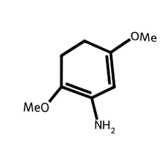 COC1=CC(N)=C(OC)CC1